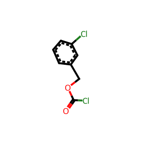 O=C(Cl)OCc1cccc(Cl)c1